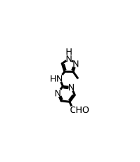 Cc1n[nH]cc1Nc1ncc(C=O)cn1